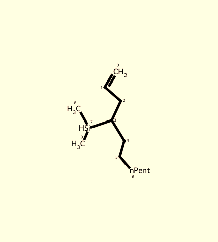 C=CCC(CCCCCCC)[SiH](C)C